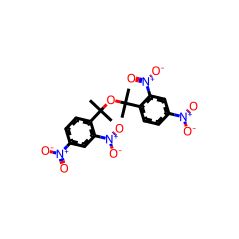 CC(C)(OC(C)(C)c1ccc([N+](=O)[O-])cc1[N+](=O)[O-])c1ccc([N+](=O)[O-])cc1[N+](=O)[O-]